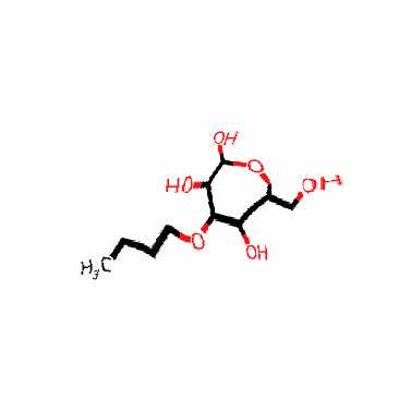 CCCCOC1C(O)C(O)OC(CO)C1O